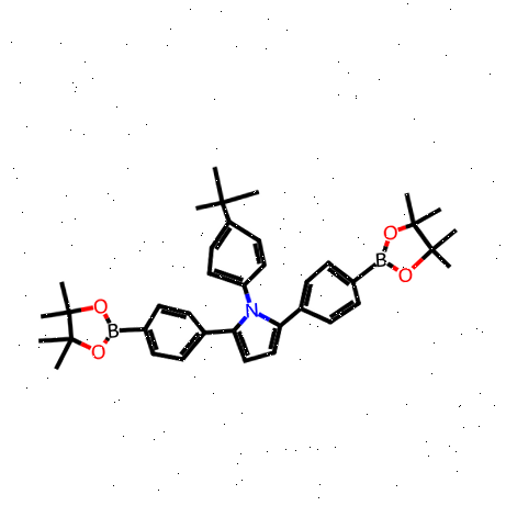 CC(C)(C)c1ccc(-n2c(-c3ccc(B4OC(C)(C)C(C)(C)O4)cc3)ccc2-c2ccc(B3OC(C)(C)C(C)(C)O3)cc2)cc1